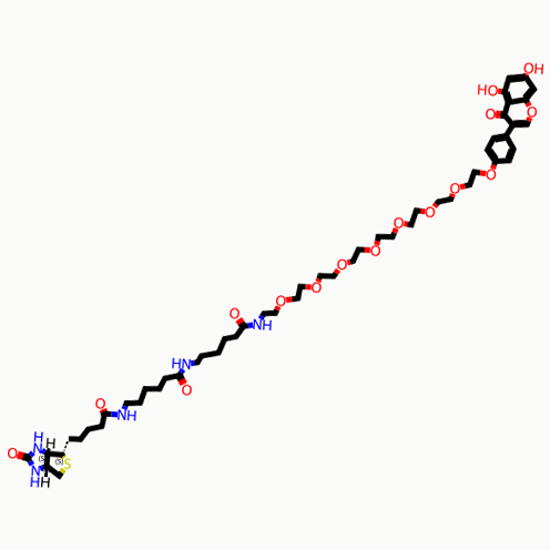 O=C(CCCCCNC(=O)CCCC[C@@H]1SC[C@@H]2NC(=O)N[C@@H]21)NCCCCCC(=O)NCCOCCOCCOCCOCCOCCOCCOCCOc1ccc(-c2coc3cc(O)cc(O)c3c2=O)cc1